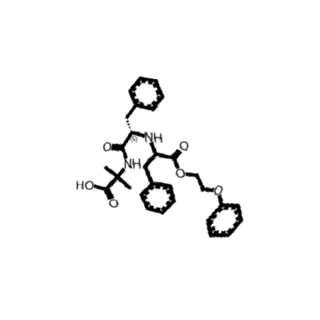 CC(C)(NC(=O)[C@H](Cc1ccccc1)NC(Cc1ccccc1)C(=O)OCCOc1ccccc1)C(=O)O